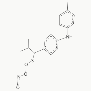 Cc1ccc(Nc2ccc(C(SOON=O)C(C)C)cc2)cc1